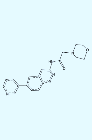 O=C(CN1CCOCC1)Nc1cc2cc(-c3cccnc3)ccc2nn1